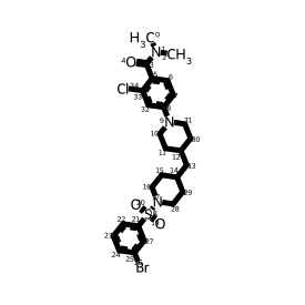 CN(C)C(=O)c1ccc(N2CCC(CC3CCN(S(=O)(=O)c4cccc(Br)c4)CC3)CC2)cc1Cl